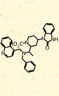 CC(C1CC(n2c(=O)[nH]c3ccccc32)CCN1C(=O)O)N(Cc1ccccc1)Cc1ccnc2ccccc12